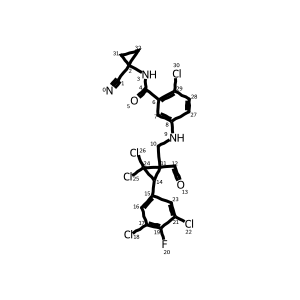 N#CC1(NC(=O)c2cc(NCC3(C=O)C(c4cc(Cl)c(F)c(Cl)c4)C3(Cl)Cl)ccc2Cl)CC1